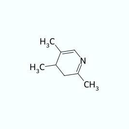 CC1=CN=C(C)CC1C